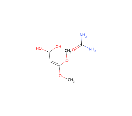 COC(=CC(O)O)OC.NC(N)=O